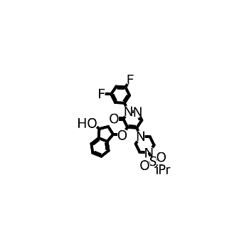 CC(C)S(=O)(=O)N1CCN(c2cnn(-c3cc(F)cc(F)c3)c(=O)c2OC2CC(O)c3ccccc32)CC1